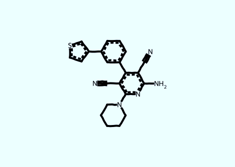 N#Cc1c(N)nc(N2CCCCC2)c(C#N)c1-c1cccc(-c2ccsc2)c1